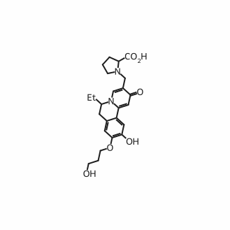 CCC1Cc2cc(OCCCO)c(O)cc2-c2cc(=O)c(CN3CCCC3C(=O)O)cn21